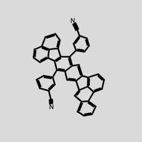 N#Cc1cccc(-c2c3cc4c(cc3c(-c3cccc(C#N)c3)c3c5cccc6cccc(c23)c65)c2cc3ccccc3c3cccc4c32)c1